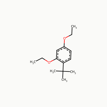 CCOc1ccc(C(C)(C)C)c(OCC)c1